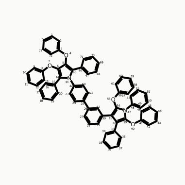 c1ccc(Oc2c(Oc3ccccc3)c(-c3ccccc3)n(-c3ccc(-c4cccc(-c5c(-c6ccccc6)c(Oc6ccccc6)n(-c6ccccc6)c5Oc5ccccc5)c4)cc3)c2-c2ccccc2)cc1